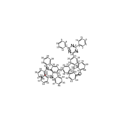 c1ccc(-c2nc(-c3ccccc3)nc(-c3ccc4c(c3)-c3cc(-c5cc6c7ccccc7n(-c7ccccc7)c6c6c5c5ccccc5n6-c5ccccc5)ccc3C43c4ccccc4Oc4ccccc43)n2)cc1